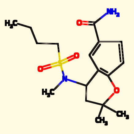 CCCCS(=O)(=O)N(C)C1CC(C)(C)Oc2ccc(C(N)=O)cc21